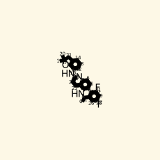 CC(Nc1cccc2nc(Nc3cccc4c3OC(C)(C)C4)ccc12)c1cc(F)cc(F)c1